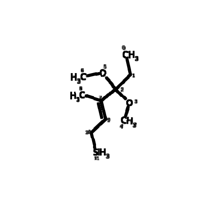 CCC(OC)(OC)C(C)=CC[SiH3]